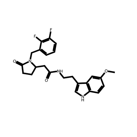 COc1ccc2[nH]cc(CCNC(=O)CC3CCC(=O)N3Cc3cccc(F)c3F)c2c1